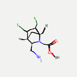 CC(C)(C)OC(=O)N1[C@@H]2C[C@@H](C(F)C2F)[C@@H]1CN